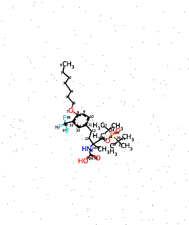 CCCCCCCOc1ccc(CCC(C)(COP(=O)(C(C)(C)C)C(C)(C)C)NC(=O)O)cc1C(F)(F)F